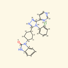 O=c1[nH]c2ccccc2n1C1CCC(c2nnc(-c3ccncn3)n2-c2ccccc2Cl)CC1